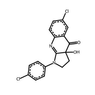 O=C1c2cc(Cl)ccc2N=C2N(c3ccc(Cl)cc3)CCC12O